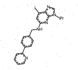 CC(C)n1cnc2c(I)cc(NCc3ccc(-c4ccccn4)cc3)nc21